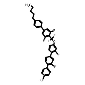 CCCCCc1ccc(-c2cc(F)c(C(F)(F)Oc3ccc(-c4ccc(-c5ccc(Cl)cc5)c(F)c4)c(F)c3)c(F)c2)cc1